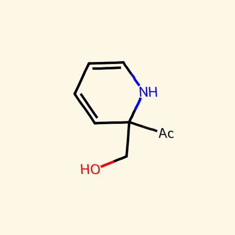 CC(=O)C1(CO)C=CC=CN1